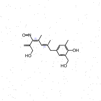 C=C(CO)/C(N=O)=C(C)\C=C(/C)Cc1cc(C)c(O)c(CO)c1